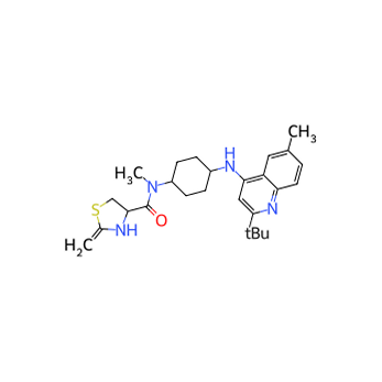 C=C1NC(C(=O)N(C)C2CCC(Nc3cc(C(C)(C)C)nc4ccc(C)cc34)CC2)CS1